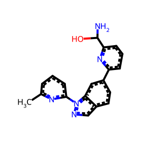 Cc1cccc(-n2ncc3ccc(-c4cccc(C(N)O)n4)cc32)n1